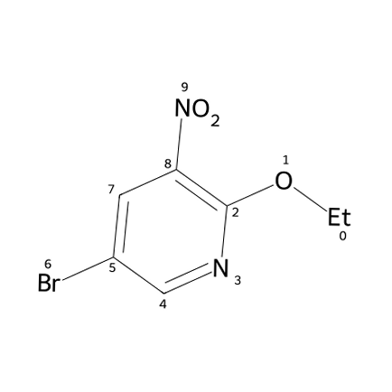 [CH2]COc1ncc(Br)cc1[N+](=O)[O-]